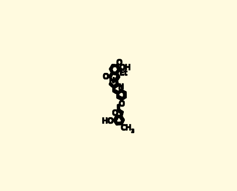 CC[C@@]1(O)C(=O)CCc2c1cc1n(c2=O)Cc2cc3cc(OCc4cc5cc(C)cc(O)c5o4)ccc3nc2-1